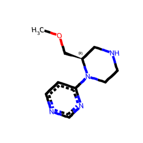 COC[C@H]1CNCCN1c1ccncn1